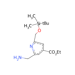 CCOC(=O)c1cc(CN)nc(CO[Si](C)(C)C(C)(C)C)c1